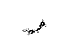 O=C(O)Nc1ccc(CNC(=O)C=CC2Cc3cc(Br)cc(Cl)c3O2)cn1